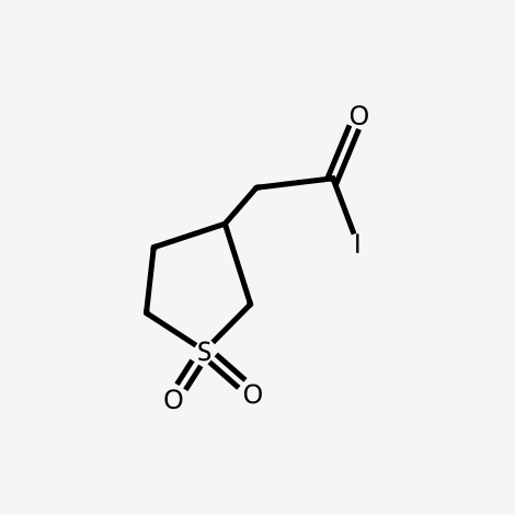 O=C(I)CC1CCS(=O)(=O)C1